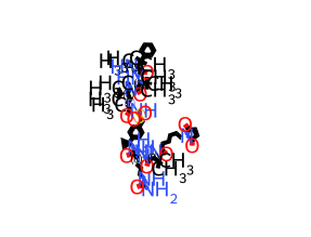 CN[C@H](C(=O)N[C@H](C(=O)N(C)[C@H](/C=C(\C)C(=O)NS(=O)(=O)Cc1ccc(C2(NC(=O)[C@@H](CCCNC(N)=O)NC(=O)[C@H](NC(=O)CCCCCN3C(=O)C=CC3=O)C(C)C)CC2)cc1)C(C)C)C(C)(C)C)C(C)(C)c1ccccc1